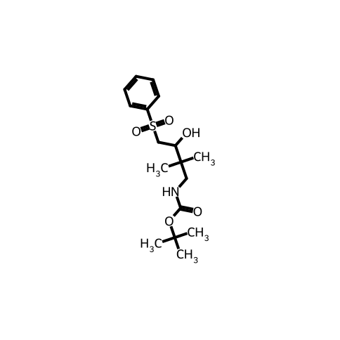 CC(C)(C)OC(=O)NCC(C)(C)C(O)CS(=O)(=O)c1ccccc1